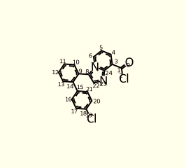 O=C(Cl)c1cccn2c(-c3ccccc3-c3ccc(Cl)cc3)cnc12